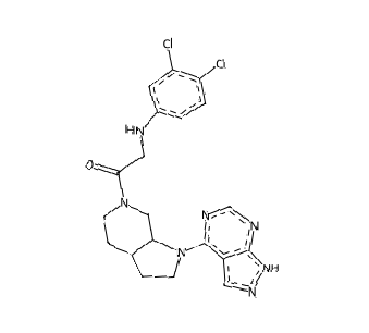 O=C(CNc1ccc(Cl)c(Cl)c1)N1CCC2CCN(c3ncnc4[nH]ncc34)C2C1